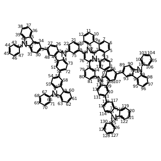 c1ccc(-c2cccc(-c3ccccc3)c2-c2nc(-c3cccc(-n4c5ccc(-c6ccc7c(c6)c6ccccc6n7-c6ccccc6)cc5c5cc(-c6ccc7c(c6)c6ccccc6n7-c6ccccc6)ccc54)c3)cc(-c3cccc(-n4c5ccc(-c6ccc7c(c6)c6ccccc6n7-c6ccccc6)cc5c5cc(-c6ccc7c(c6)c6ccccc6n7-c6ccccc6)ccc54)c3)n2)cc1